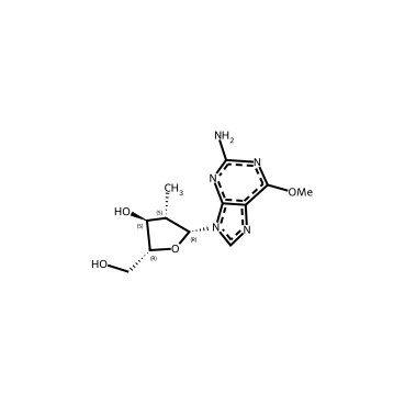 COc1nc(N)nc2c1ncn2[C@@H]1O[C@H](CO)[C@@H](O)[C@@H]1C